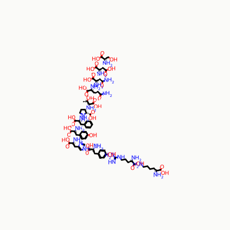 C[C@@H](O)[C@H](N)C(=O)O.N=C(N)NCCC[C@H](N)C(=O)O.NC(=O)CC[C@H](N)C(=O)O.NC(=O)C[C@H](N)C(=O)O.NCCCC[C@H](N)C(=O)O.N[C@@H](CC(=O)O)C(=O)O.N[C@@H](CO)C(=O)O.N[C@@H](Cc1c[nH]cn1)C(=O)O.N[C@@H](Cc1ccc(O)cc1)C(=O)O.N[C@@H](Cc1ccc(O)cc1)C(=O)O.N[C@@H](Cc1ccccc1)C(=O)O.O=C(O)[C@@H]1CCCN1